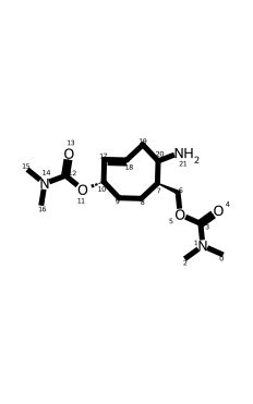 CN(C)C(=O)OC[C@H]1CC[C@H](OC(=O)N(C)C)/C=C/CC1N